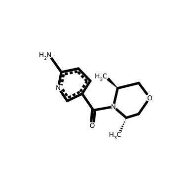 C[C@H]1COC[C@H](C)N1C(=O)c1ccc(N)nc1